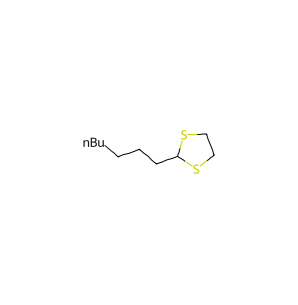 CCCCCCCC1SCCS1